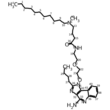 CCCCCCCCCCCN(C)CCCC(=O)NCCOCCOn1c(CCCC)nc2c(N)nc3ccccc3c21